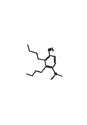 CCCCc1c([SiH3])ccc(N(C)C)c1CCCC